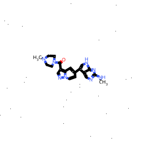 CNc1ncc2c(-c3ccn4ncc(C(=O)N5CCN(C)CC5)c4c3)c[nH]c2n1